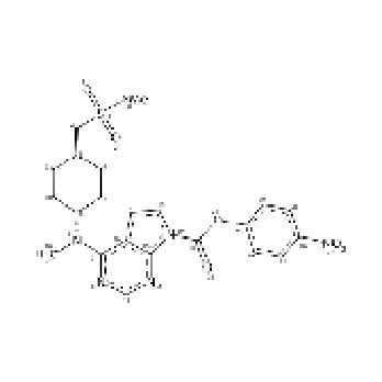 CNS(=O)(=O)C[C@H]1CC[C@H](N(C)c2ncnc3c2ccn3C(=O)Oc2ccc([N+](=O)[O-])cc2)CC1